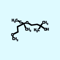 CC[C@@](C)(CCOC)OCCC(C)(C)O